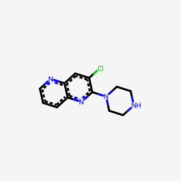 Clc1cc2ncccc2nc1N1CCNCC1